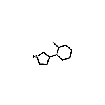 IC1CCCCN1C1CCNC1